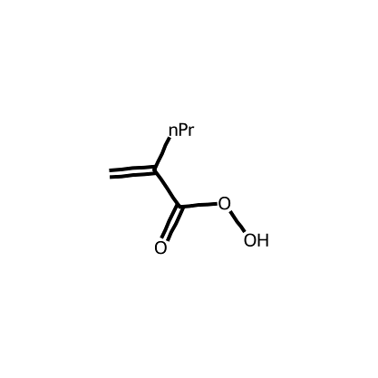 C=C(CCC)C(=O)OO